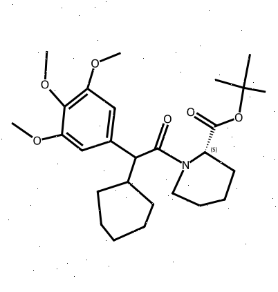 COc1cc(C(C(=O)N2CCCC[C@H]2C(=O)OC(C)(C)C)C2CCCCC2)cc(OC)c1OC